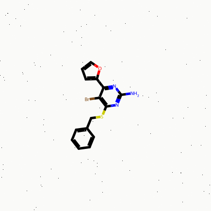 Nc1nc(SCc2ccccc2)c(Br)c(-c2ccco2)n1